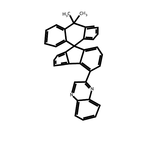 CC1(C)c2ccccc2C2(c3ccccc3-c3c(-c4cnc5ccccc5n4)cccc32)c2ccccc21